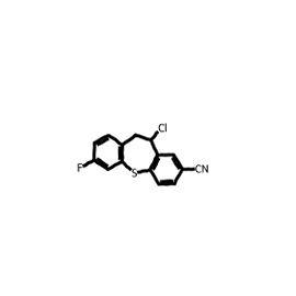 N#Cc1ccc2c(c1)C(Cl)Cc1ccc(F)cc1S2